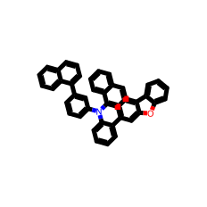 c1cc(-c2cccc3ccccc23)cc(N(c2ccccc2-c2ccc3c(c2)oc2ccccc23)c2cccc3ccccc23)c1